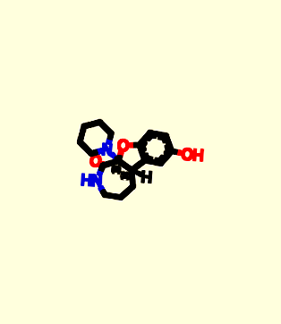 O=C1NCCC[C@H]2c3cc(O)ccc3O[C@@]12N1CCCCC1